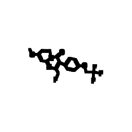 COc1ccn2c(=O)c(-c3ccc(OCC(F)(F)F)cc3)c(CF)nc2c1